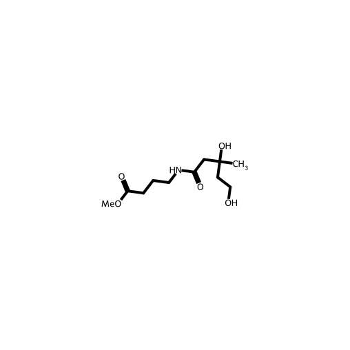 COC(=O)CCCNC(=O)CC(C)(O)CCO